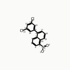 O=[N+]([O-])c1cccc2c(-c3cc(Cl)cc(Cl)c3)cccc12